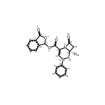 O=C(OC1OC(=O)c2ccccc21)C1=CN(c2ccccc2)S[C@@H]2CC(=O)N12